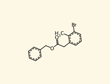 Cc1c(Br)cccc1CC(=O)OCc1ccccc1